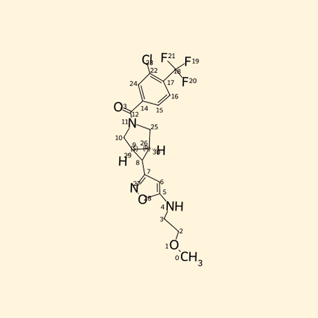 COCCNc1cc(C2[C@H]3CN(C(=O)c4ccc(C(F)(F)F)c(Cl)c4)C[C@@H]23)no1